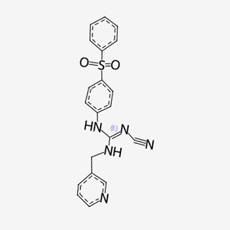 N#C/N=C(\NCc1cccnc1)Nc1ccc(S(=O)(=O)c2ccccc2)cc1